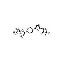 CC(C)(C)OC(=O)N1CCC(c2cnc(NC(=O)C(F)(F)F)s2)CC1